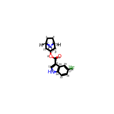 CN1[C@H]2CC[C@H]1CC(OC(=O)c1c[nH]c3ccc([18F])cc13)C2